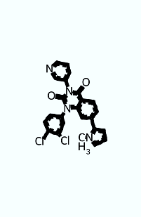 Cn1cccc1-c1ccc2c(=O)n(-c3cccnc3)c(=O)n(-c3ccc(Cl)c(Cl)c3)c2c1